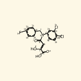 O=C(O)/C(O)=C/C(=O)N(Cc1ccc(F)cc1)c1ccc(Cl)c(Cl)c1